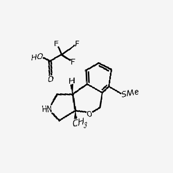 CSc1cccc2c1CO[C@]1(C)CNC[C@H]21.O=C(O)C(F)(F)F